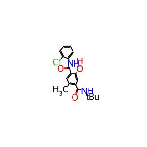 Cc1cc(C(=O)Nc2ccccc2Cl)c(O)cc1C(=O)NC(C)(C)C